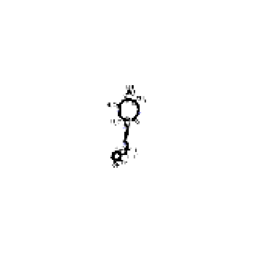 C[C@H]1C/C=C\C(=O)N[C@@H](/C=C/C#C/C=C/C(C)(C)[C@@H](O)c2cccc(O)c2Br)[C@H](C)/C=C/[C@@H](C)C[C@@H](OC(N)=O)C1